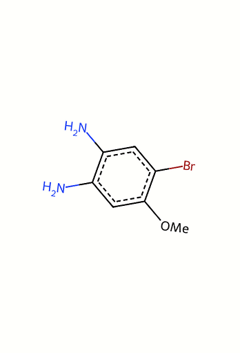 COc1cc(N)c(N)cc1Br